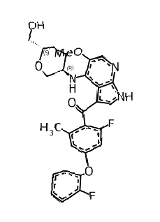 COc1cnc2[nH]cc(C(=O)c3c(C)cc(Oc4ccccc4F)cc3F)c2c1N[C@@H]1CC[C@@H](CO)OC1